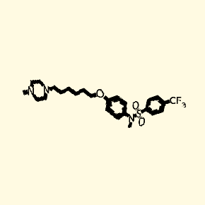 CN1CCN(CCCCCCOc2ccc(N(C)S(=O)(=O)c3ccc(C(F)(F)F)cc3)cc2)CC1